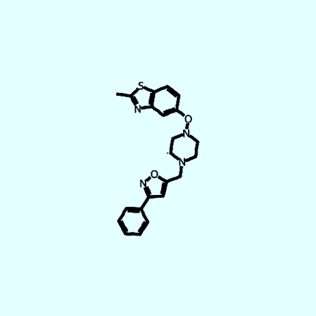 Cc1nc2cc(ON3C[CH]N(Cc4cc(-c5ccccc5)no4)CC3)ccc2s1